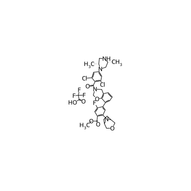 COC(=O)c1cc(F)c(-c2cccc3c2OCN(C(=O)c2c(Cl)cc(N4C[C@@H](C)NC[C@H]4C)cc2Cl)C3)cc1N1C2CCC1COC2.O=C(O)C(F)(F)F